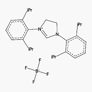 CC(C)c1cccc(C(C)C)c1N1C=[N+](c2c(C(C)C)cccc2C(C)C)CC1.F[B-](F)(F)F